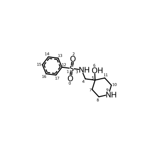 O=S(=O)(NCC1(O)CCNCC1)c1ccccc1